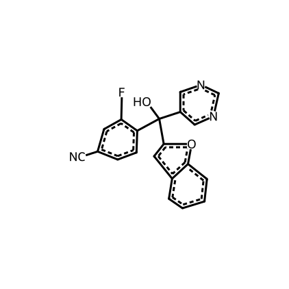 N#Cc1ccc(C(O)(c2cncnc2)c2cc3ccccc3o2)c(F)c1